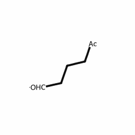 [CH2]C(=O)CCC[C]=O